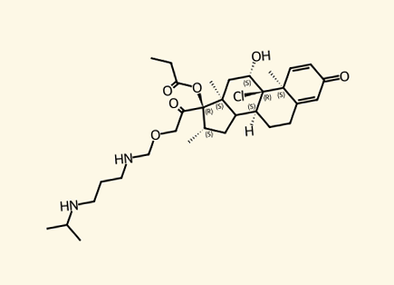 CCC(=O)O[C@]1(C(=O)COCNCCCNC(C)C)[C@@H](C)CC2[C@@H]3CCC4=CC(=O)C=C[C@]4(C)[C@@]3(Cl)[C@@H](O)C[C@@]21C